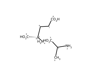 CC(N)C(=O)O.N[C@@H](CCC(=O)O)C(=O)O